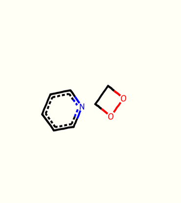 C1COO1.c1ccncc1